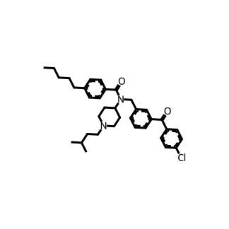 CCCCCc1ccc(C(=O)N(Cc2cccc(C(=O)c3ccc(Cl)cc3)c2)C2CCN(CCC(C)C)CC2)cc1